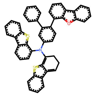 C1=c2c(sc3ccccc23)=C(N(c2ccc(-c3cccc4c3oc3ccccc34)c(-c3ccccc3)c2)c2cccc3c2sc2ccccc23)CC1